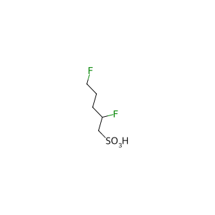 O=S(=O)(O)CC(F)CCCF